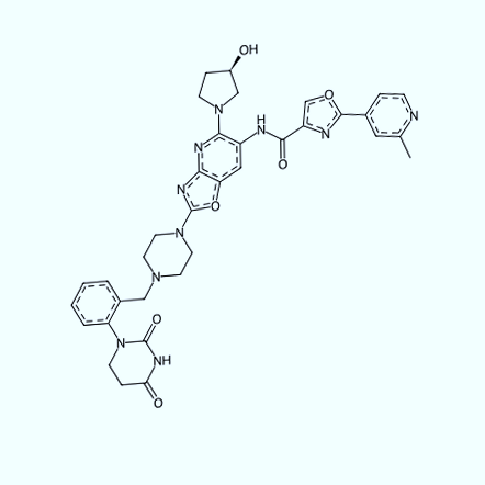 Cc1cc(-c2nc(C(=O)Nc3cc4oc(N5CCN(Cc6ccccc6N6CCC(=O)NC6=O)CC5)nc4nc3N3CC[C@@H](O)C3)co2)ccn1